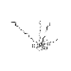 CCCCCCCCCCCCOC(=O)C12CC3OC3C(CCCCCCCC)(CCCCCCCC)C1(C(=O)OCCCC)O2